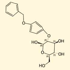 OC[C@H]1O[C@@H](O)[C@H](Oc2ccc(OCc3ccccc3)cc2)[C@@H](O)[C@@H]1O